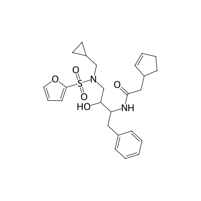 O=C(CC1C=CCC1)NC(Cc1ccccc1)C(O)CN(CC1CC1)S(=O)(=O)c1ccco1